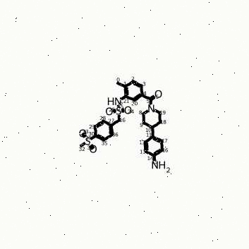 Cc1ccc(C(=O)N2CCC(c3ccc(N)cc3)CC2)cc1NS(=O)(=O)Cc1ccc(S(C)(=O)=O)cc1